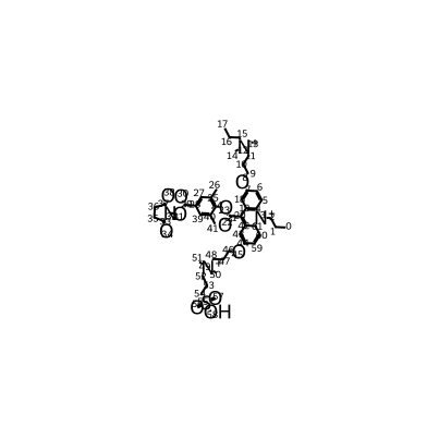 CCC[n+]1c2ccc(OCCC[N+](C)(C)CCC)cc2c(C(=O)Oc2c(C)cc(C(=O)ON3C(=O)CCC3=O)cc2C)c2cc(OCCC[N+](C)(C)CCCS(=O)(=O)O)ccc21